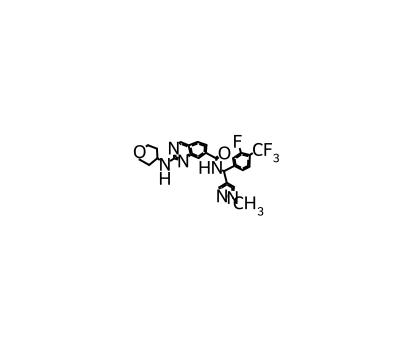 Cn1cc(C(NC(=O)c2ccc3cnc(NC4CCOCC4)nc3c2)c2ccc(C(F)(F)F)c(F)c2)cn1